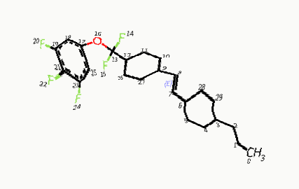 CCCC1CCC(/C=C/C2CCC(C(F)(F)Oc3cc(F)c(F)c(F)c3)CC2)CC1